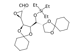 CC[Si](CC)(CC)OC([C@H]1OC2(CCCCC2)O[C@H]1[C@H]1O[C@@H]1C=O)[C@H]1COC2(CCCCC2)O1